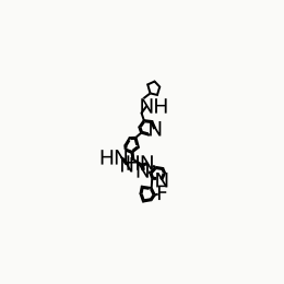 Fc1ccccc1-c1nccc2[nH]c(-c3n[nH]c4ccc(-c5cncc(CNCC6CCCC6)c5)cc34)nc12